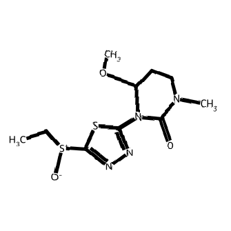 CC[S+]([O-])c1nnc(N2C(=O)N(C)CCC2OC)s1